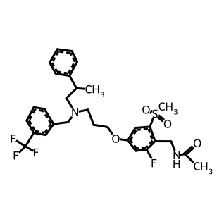 CC(=O)NCc1c(F)cc(OCCCN(Cc2cccc(C(F)(F)F)c2)CC(C)c2ccccc2)cc1S(C)(=O)=O